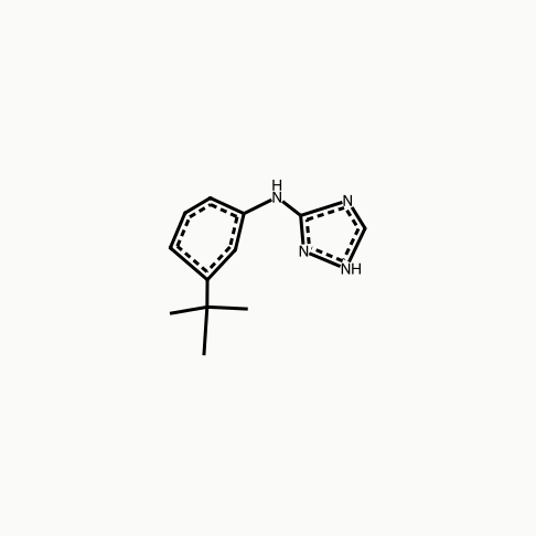 CC(C)(C)c1cccc(Nc2nc[nH]n2)c1